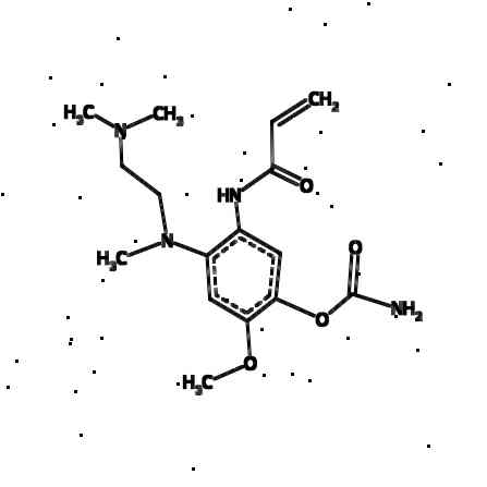 C=CC(=O)Nc1cc(OC(N)=O)c(OC)cc1N(C)CCN(C)C